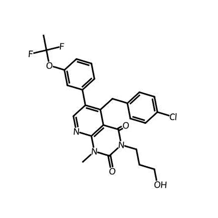 Cn1c(=O)n(CCCO)c(=O)c2c(Cc3ccc(Cl)cc3)c(-c3cccc(OC(C)(F)F)c3)cnc21